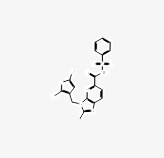 Cc1nc2ccc(C(=O)NS(=O)(=O)c3ccccc3)nc2n1Cc1cc(Cl)sc1Cl